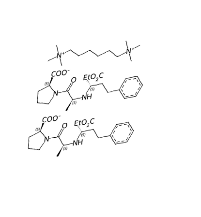 CCOC(=O)[C@H](CCc1ccccc1)N[C@@H](C)C(=O)N1CCC[C@H]1C(=O)[O-].CCOC(=O)[C@H](CCc1ccccc1)N[C@@H](C)C(=O)N1CCC[C@H]1C(=O)[O-].C[N+](C)(C)CCCCCC[N+](C)(C)C